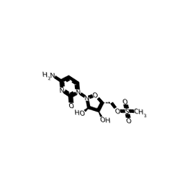 CS(=O)(=O)OC[C@H]1ON(n2ccc(N)nc2=O)[C@H](O)[C@@H]1O